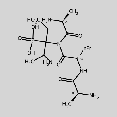 CCC[C@H](NC(=O)[C@H](C)N)C(=O)N(C(=O)[C@H](C)N)C(CC(=O)O)(C(C)N)P(=O)(O)O